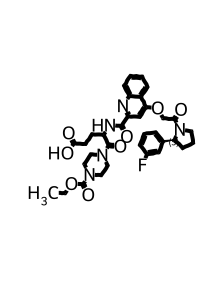 CCOC(=O)N1CCN(C(=O)C(CCC(=O)O)NC(=O)c2cc(OCC(=O)N3CCC[C@H]3c3cccc(F)c3)c3ccccc3n2)CC1